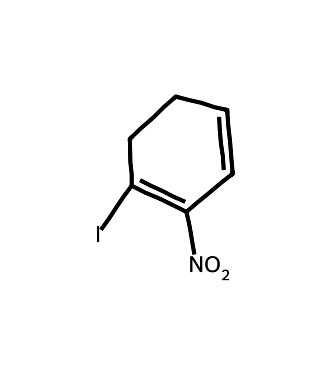 O=[N+]([O-])C1=C(I)CCC=C1